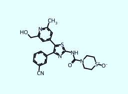 Cc1cc(-c2sc(NC(=O)N3CC[S+]([O-])CC3)nc2-c2cccc(C#N)c2)cc(CO)n1